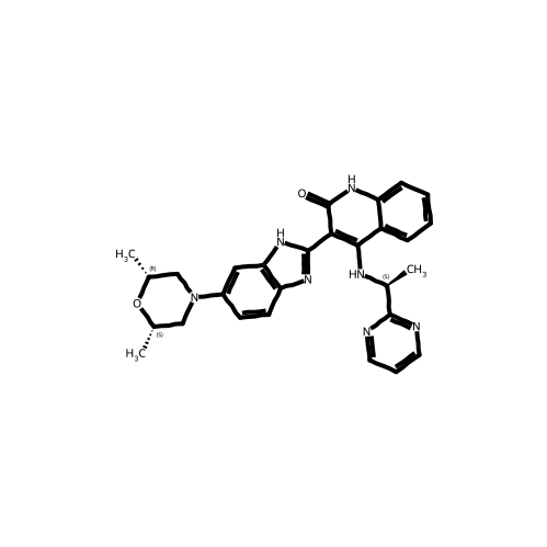 C[C@@H]1CN(c2ccc3nc(-c4c(N[C@@H](C)c5ncccn5)c5ccccc5[nH]c4=O)[nH]c3c2)C[C@H](C)O1